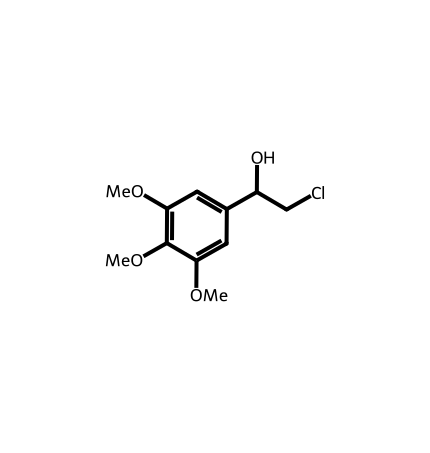 COc1cc(C(O)CCl)cc(OC)c1OC